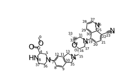 COC(=O)C1CN(c2ccc3c(c2)CN(C[C@H]2CN(c4ccc(C#N)c5ncccc45)C[C@@H](C)O2)C3)CCN1